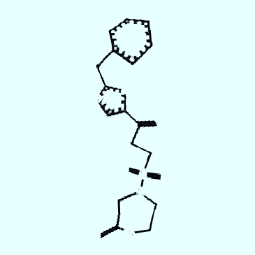 O=C1CN(S(=O)(=O)CCC(=O)c2[c]nc(Cc3ccccc3)s2)CCN1